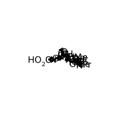 CC[C@H](C)[C@@H]([C@@H](CC(=O)N1CCC[C@H]1[C@H](OC)[C@@H](C)C(=O)N[C@@H](Cc1ccc(OCN2CCC(C(=O)O)CC2)cc1)C(=O)NS(=O)(=O)C1CC1)OC)N(C)C(=O)[C@@H](NC(=O)[C@H](C(C)C)N(C)C)C(C)C